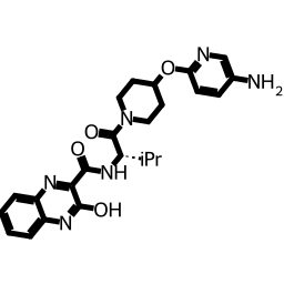 CC(C)[C@H](NC(=O)c1nc2ccccc2nc1O)C(=O)N1CCC(Oc2ccc(N)cn2)CC1